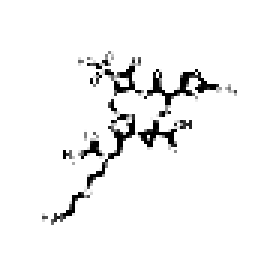 N=C(N)N(CCOCCN)Cc1cnn(C[C@H]2[C@H](NC(=O)C(=NOC3(C(=O)O)CC3)c3csc(N)n3)C(=O)N2S(=O)(=O)O)n1